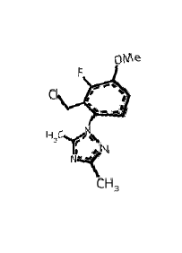 COc1ccc(-n2nc(C)nc2C)c(CCl)c1F